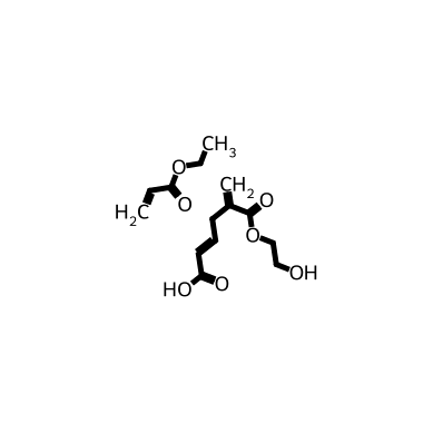 C=C(CC=CC(=O)O)C(=O)OCCO.C=CC(=O)OCC